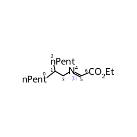 CCCCCC(CCCCC)C/N=C/C(=O)OCC